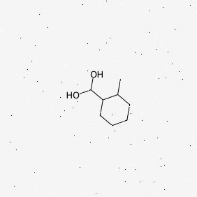 CC1CCCCC1C(O)O